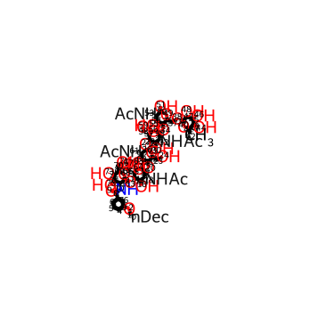 CCCCCCCCCCCOc1cccc(C(=O)N[C@@H]2C(O[C@H]3C(O)C(NC(C)=O)[C@H](OC4C(CO)O[C@@H](O[C@H]5C(O)C(NC(C)=O)C(OC6C(CO[C@@H]7OC(C)C(O)[C@H](O)[C@H]7O)OC(O)[C@@H](NC(C)=O)[C@H]6O)O[C@H]5CO)[C@@H](NC(C)=O)[C@H]4O)O[C@H]3CO)OC(CO)[C@@H](O)C2O)c1